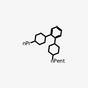 CCCCCC1CCC(c2cc[c]cc2C2CCC(CCC)CC2)CC1